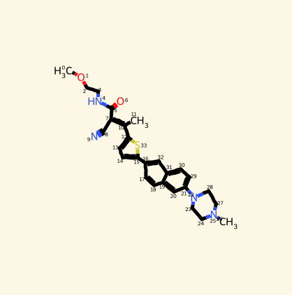 COCCNC(=O)/C(C#N)=C(\C)c1ccc(-c2ccc3cc(N4CCN(C)CC4)ccc3c2)s1